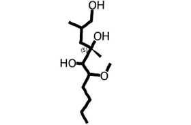 CCCCC(OC)C(O)[C@@](C)(O)CC(C)CO